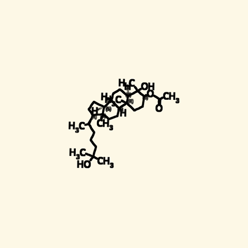 CC(=O)O[C@H]1CC[C@]2(C)[C@H]3CC[C@]4(C)[C@@H](C(C)CCCC(C)(C)O)CC[C@H]4[C@@H]3CC[C@H]2C1(C)O